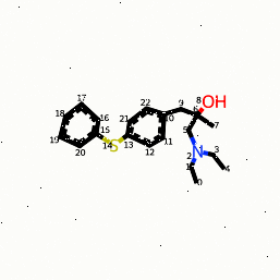 CCN(CC)CC(C)(O)Cc1ccc(Sc2ccccc2)cc1